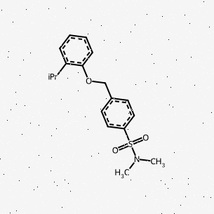 CC(C)c1ccccc1OCc1ccc(S(=O)(=O)N(C)C)cc1